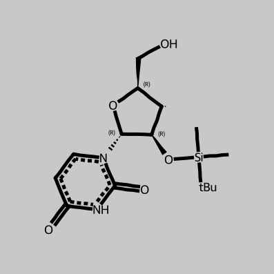 CC(C)(C)[Si](C)(C)O[C@@H]1[CH][C@H](CO)O[C@H]1n1ccc(=O)[nH]c1=O